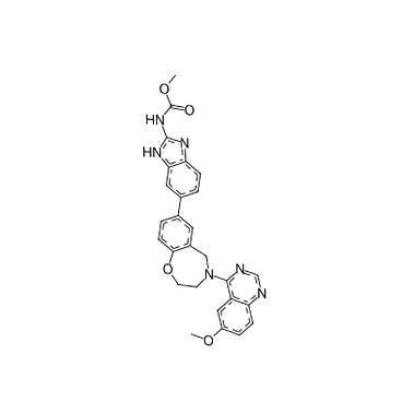 COC(=O)Nc1nc2ccc(-c3ccc4c(c3)CN(c3ncnc5ccc(OC)cc35)CCO4)cc2[nH]1